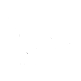 C/C=C\S/C(=C/C)C1=NCC(C(/C=C\CC(F)F)=N/C)=C2CC(NC(=O)CC)CN12